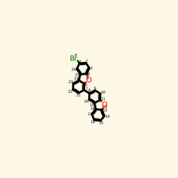 Brc1ccc2oc3c(-c4ccc5oc6ccccc6c5c4)cccc3c2c1